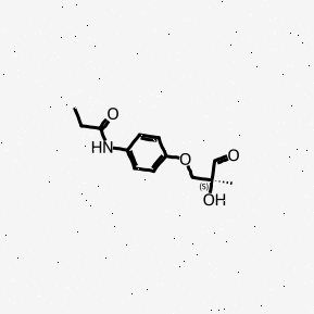 CCC(=O)Nc1ccc(OC[C@](C)(O)C=O)cc1